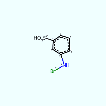 O=S(=O)(O)c1cccc(NBr)c1